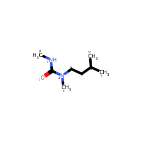 CNC(=O)N(C)CCC(C)C